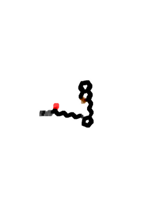 COC(=O)CCCCCC[C@H]1CCC[C@@H]1CCCC1=Cc2ccccc2CS1